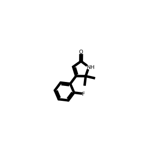 CC1(C)NC(=O)C=C1c1ccccc1F